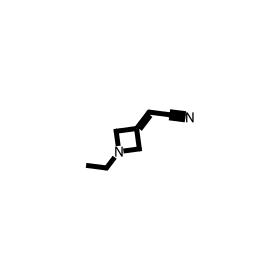 CCN1CC(=CC#N)C1